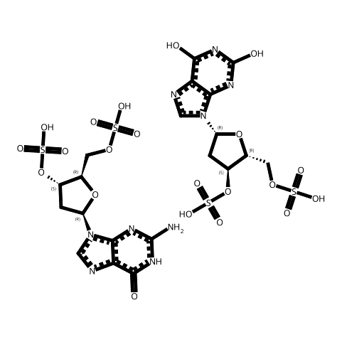 Nc1nc2c(ncn2[C@H]2C[C@H](OS(=O)(=O)O)[C@@H](COS(=O)(=O)O)O2)c(=O)[nH]1.O=S(=O)(O)OC[C@H]1O[C@@H](n2cnc3c(O)nc(O)nc32)C[C@@H]1OS(=O)(=O)O